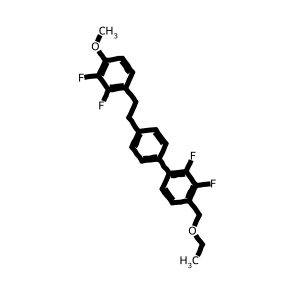 CCOCc1ccc(-c2ccc(CCc3ccc(OC)c(F)c3F)cc2)c(F)c1F